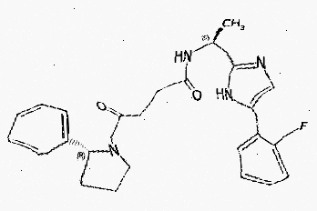 C[C@H](NC(=O)CCC(=O)N1CCC[C@@H]1c1ccccc1)c1ncc(-c2ccccc2F)[nH]1